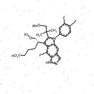 CCOC[C@@H](CCCC(=O)O)c1c(C(C)(C)COC)n(-c2ccc(F)c(F)c2)c2cc3cn[nH]c3c(F)c12